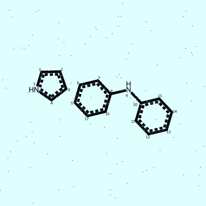 c1cc[nH]c1.c1ccc(Nc2ccccc2)cc1